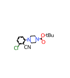 CC(C)(C)OC(=O)N1CCN(c2cccc(Cl)c2C#N)CC1